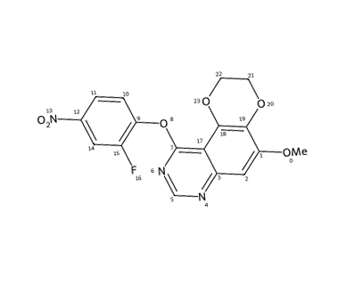 COc1cc2ncnc(Oc3ccc([N+](=O)[O-])cc3F)c2c2c1OCCO2